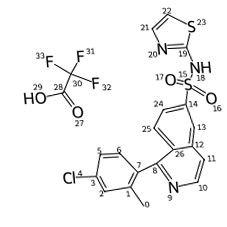 Cc1cc(Cl)ccc1-c1nccc2cc(S(=O)(=O)Nc3nccs3)ccc12.O=C(O)C(F)(F)F